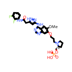 COc1cc2c(Nc3cc(CC(=O)Nc4cccc(F)c4F)[nH]n3)ncnc2cc1OCCCN1CCC[C@@H]1COP(=O)(O)O